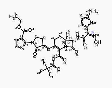 CCOC(=O)c1ccsc1N1CCC(=CC2=C(C(=O)OC(=O)C(F)(F)F)N3C(=O)[C@@H](NC(=O)/C(=N\O)c4csc(N)n4)[C@H]3SC2)C1=O